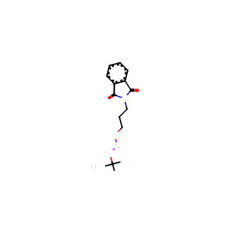 CC(C)(C)ONOCCCN1C(=O)c2ccccc2C1=O